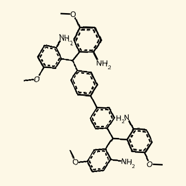 COc1ccc(N)c(C(c2ccc(-c3ccc(C(c4cc(OC)ccc4N)c4cc(OC)ccc4N)cc3)cc2)c2cc(OC)ccc2N)c1